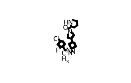 C[C@H](c1ccc(Cl)cc1F)n1nnc2ccc(C3=CCN(C(=O)C4CCCCN4)CC3)cc21